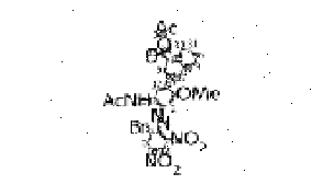 COc1cc(/N=N/c2c(Br)cc([N+](=O)[O-])cc2[N+](=O)[O-])c(NC(C)=O)cc1N(CCC(=O)OCC(C)=O)Cc1ccccc1